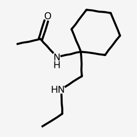 CCNCC1(NC(C)=O)CCCCC1